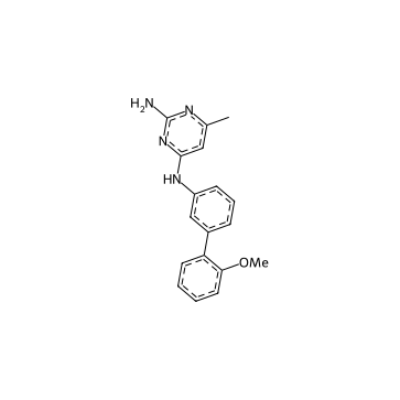 COc1ccccc1-c1cccc(Nc2cc(C)nc(N)n2)c1